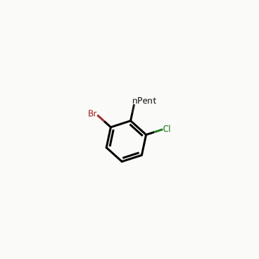 C[CH]CCCc1c(Cl)cccc1Br